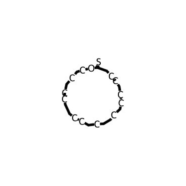 S=C1CCCCCCCCCCCCCCCCCCCCCCO1